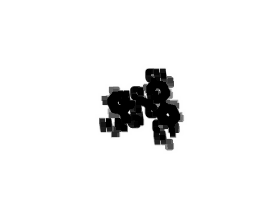 Cc1cc([C@@H]2CC[C@@H](C)CN2C(=O)C(=O)Nc2ncccc2C(N)=O)ccc1F